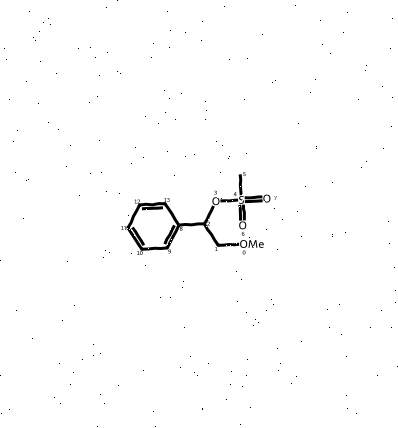 COCC(OS(C)(=O)=O)c1ccccc1